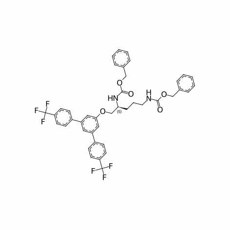 O=C(NCCC[C@@H](COc1cc(-c2ccc(C(F)(F)F)cc2)cc(-c2ccc(C(F)(F)F)cc2)c1)NC(=O)OCc1ccccc1)OCc1ccccc1